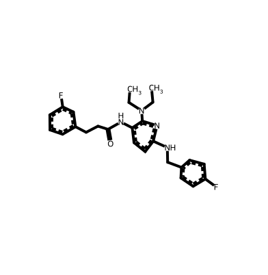 CCN(CC)c1nc(NCc2ccc(F)cc2)ccc1NC(=O)CCc1cccc(F)c1